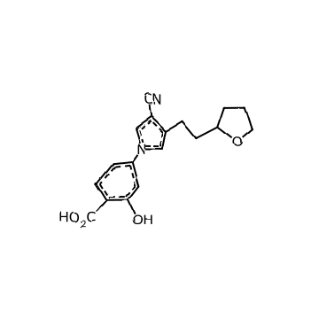 N#Cc1cn(-c2ccc(C(=O)O)c(O)c2)cc1CCC1CCCO1